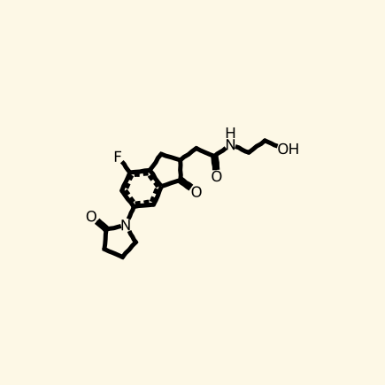 O=C(CC1Cc2c(F)cc(N3CCCC3=O)cc2C1=O)NCCO